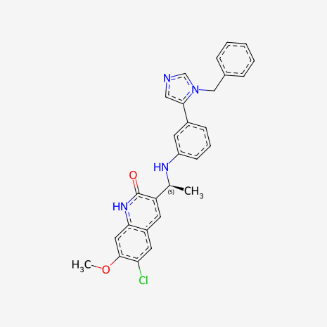 COc1cc2[nH]c(=O)c([C@H](C)Nc3cccc(-c4cncn4Cc4ccccc4)c3)cc2cc1Cl